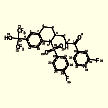 O=C(NC[C@@H]1CCc2cc(C(O)(C(F)(F)F)C(F)(F)F)ccc2N1S(=O)(=O)c1ccc(F)cc1)c1ccnc(F)c1